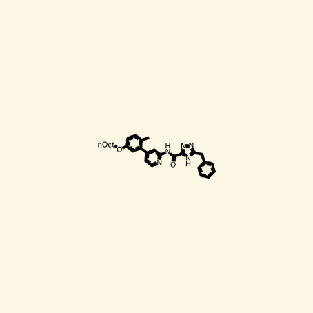 CCCCCCCCOc1ccc(C)c(-c2ccnc(NC(=O)c3nnc(Cc4ccccc4)[nH]3)c2)c1